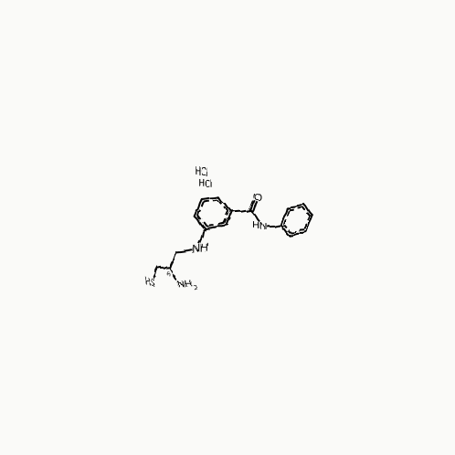 Cl.Cl.N[C@@H](CS)CNc1cccc(C(=O)Nc2ccccc2)c1